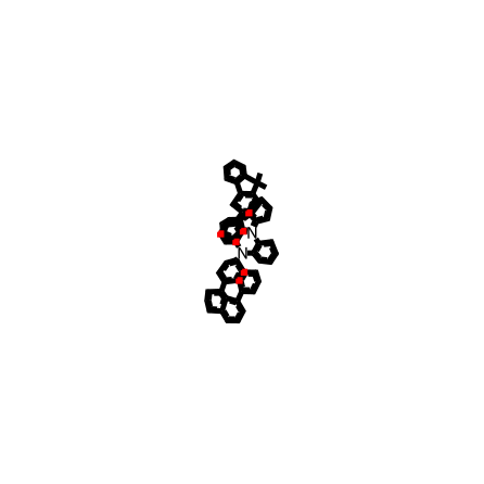 CC1(C)c2ccccc2-c2cc(-c3cccc(N(c4ccc(-c5cccc6cccc(-c7ccccc7)c56)cc4)c4ccccc4-n4c5ccccc5c5ccccc54)c3)ccc21